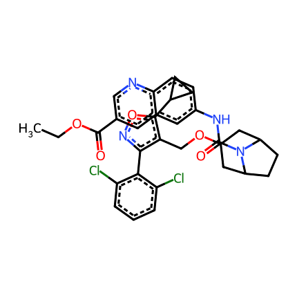 CCOC(=O)c1cnc2ccc(NC(=O)N3C4CCC3CC(OCc3c(-c5c(Cl)cccc5Cl)noc3C3CC3)C4)cc2c1